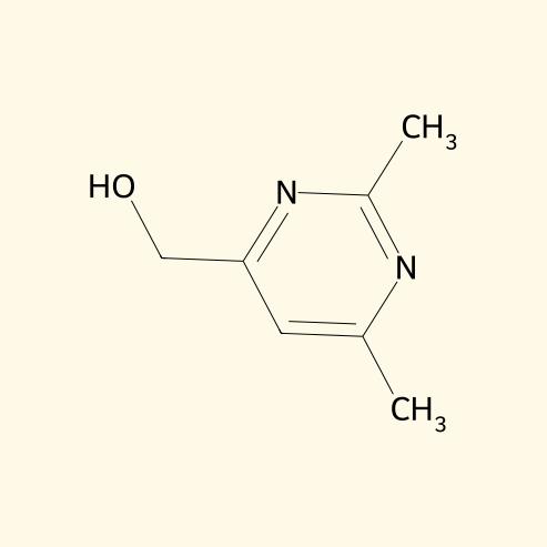 Cc1cc(CO)nc(C)n1